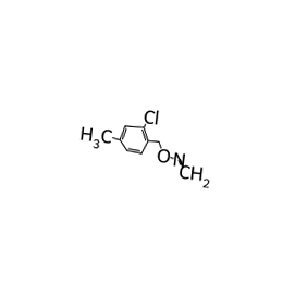 C=NOCc1ccc(C)cc1Cl